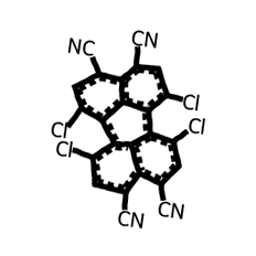 N#Cc1cc(Cl)c2c3c(Cl)cc(C#N)c4c(C#N)cc(Cl)c(c5c(Cl)cc(C#N)c1c25)c43